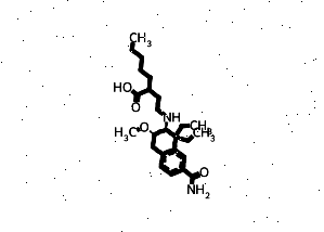 CCCCCC(CCN[C@@H]1[C@@H](OC)Cc2ccc(C(N)=O)cc2C1(CC)CC)C(=O)O